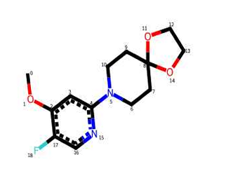 COc1cc(N2CCC3(CC2)OCCO3)ncc1F